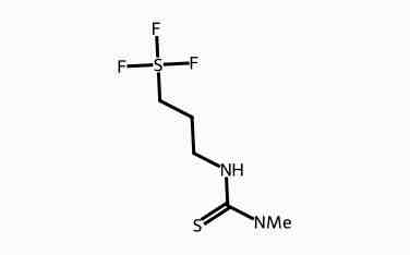 CNC(=S)NCCCS(F)(F)F